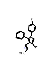 CC(C)c1cn(-c2ccc(F)cc2)c(-c2ccccc2)c1/C=C/C=O